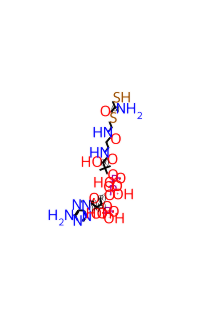 CC(C)(COP(=O)(O)OP(=O)(O)OC[C@H]1O[C@@H](n2cnc3c(N)ncnc32)[C@H](O)[C@@H]1OP(=O)(O)O)[C@@H](O)C(=O)NCCC(=O)NCCSC(=O)[C@@H](N)CS